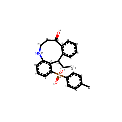 Cc1ccc(S(=O)(=O)c2cccc3c2C(CC(F)(F)F)c2ccccc2C(=O)CCN3)cc1